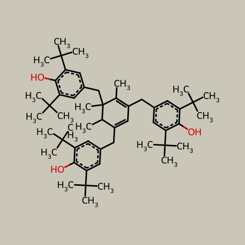 CC1=C(Cc2cc(C(C)(C)C)c(O)c(C(C)(C)C)c2)C=C(Cc2cc(C(C)(C)C)c(O)c(C(C)(C)C)c2)C(C)C1(C)Cc1cc(C(C)(C)C)c(O)c(C(C)(C)C)c1